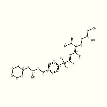 C=C(Cl)/C(OC[C@@H](O)CCl)=C(Cl)\C=C(/C)C(C)(C)c1ccc(OC[C@H](O)CN2CCOCC2)cc1